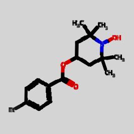 CCc1ccc(C(=O)OC2CC(C)(C)N(O)C(C)(C)C2)cc1